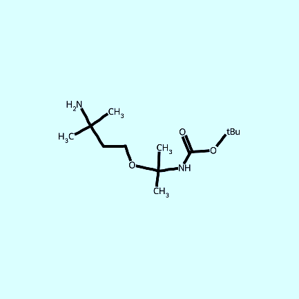 CC(C)(N)CCOC(C)(C)NC(=O)OC(C)(C)C